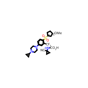 CO[C@H]1CC[C@H](S(=O)(=O)c2ccc(N3CCN(C4CC4)CC3)cc2C(F)(F)F)C1.N#CC1(NC(=O)O)CC1